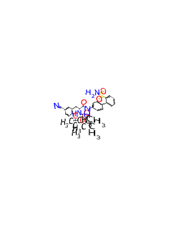 CC(C)(C)OC(=O)N[C@@H](Cc1cc(C#N)ccc1OC(C)(C)C)C(=O)Nc1ccc(-c2ccccc2S(N)(=O)=O)cc1